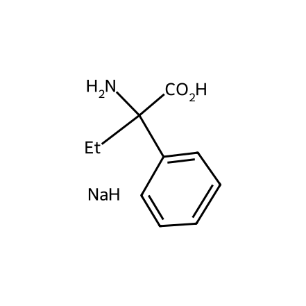 CCC(N)(C(=O)O)c1ccccc1.[NaH]